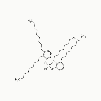 CCCCCCCCCc1cccc(OP(=O)(O)Oc2cccc(CCCCCCCCC)c2CCCCCCCCC)c1CCCCCCCCC